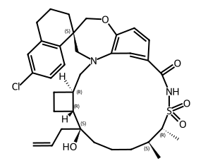 C=CC[C@@]1(O)CCC[C@H](C)[C@@H](C)S(=O)(=O)NC(=O)c2ccc3c(c2)N(C[C@@H]2CC[C@H]21)C[C@@]1(CCCc2cc(Cl)ccc21)CO3